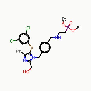 CCOP(=O)(CCNCc1ccc(Cn2c(CO)nc(C(C)C)c2Sc2cc(Cl)cc(Cl)c2)cc1)OCC